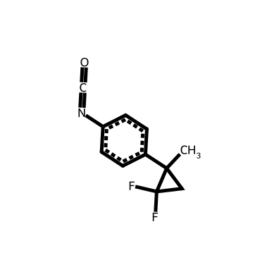 CC1(c2ccc(N=C=O)cc2)CC1(F)F